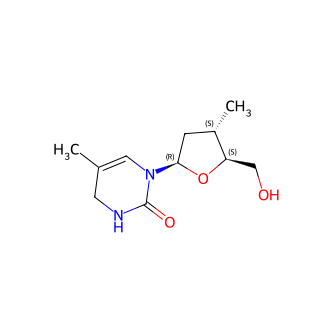 CC1=CN([C@H]2C[C@H](C)[C@@H](CO)O2)C(=O)NC1